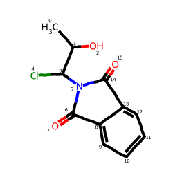 CC(O)C(Cl)N1C(=O)c2ccccc2C1=O